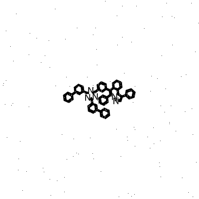 C1=CC(C2=C(c3ccccc3)N3N=CC(c4ccccc4)C3C3C=CCCC23)CC(c2nc(C3=CCCC(c4ccccc4)=C3)nc(-c3cccc(-c4ccccc4)c3)n2)=C1